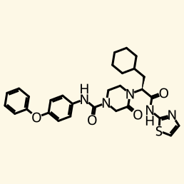 O=C(Nc1nccs1)[C@H](CC1CCCCC1)N1CCN(C(=O)Nc2ccc(Oc3ccccc3)cc2)CC1=O